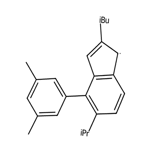 CCC(C)C1=Cc2c(ccc(C(C)C)c2-c2cc(C)cc(C)c2)[CH]1